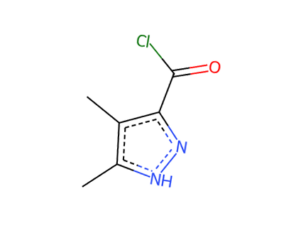 Cc1[nH]nc(C(=O)Cl)c1C